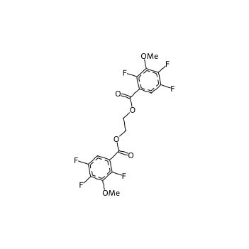 COc1c(F)c(F)cc(C(=O)OCCOC(=O)c2cc(F)c(F)c(OC)c2F)c1F